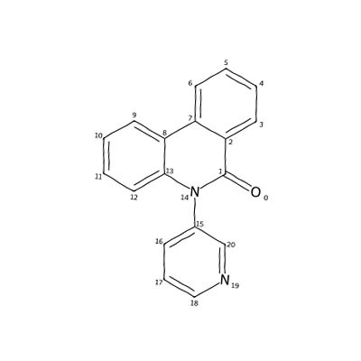 O=c1c2ccccc2c2ccccc2n1-c1cccnc1